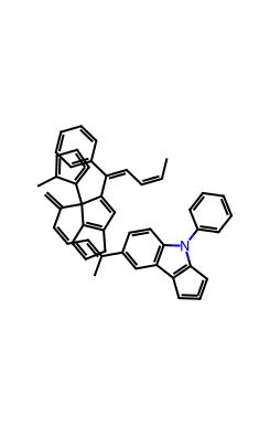 C=C(/C=C\C=C(/C)c1ccc2c(c1)c1c(n2-c2ccccc2)C=C=C1)C1(C2=C=CC=C2C)C(/C(=C\C=C/C)c2ccccc2)=CC2=C1C=CC2